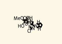 COC[C@@]1(O)[C@@H](CO)O[C@@H](n2ncc3c(N4C[C@H]5CCC[C@H]5C4)nc(Cl)nc32)[C@@H]1O